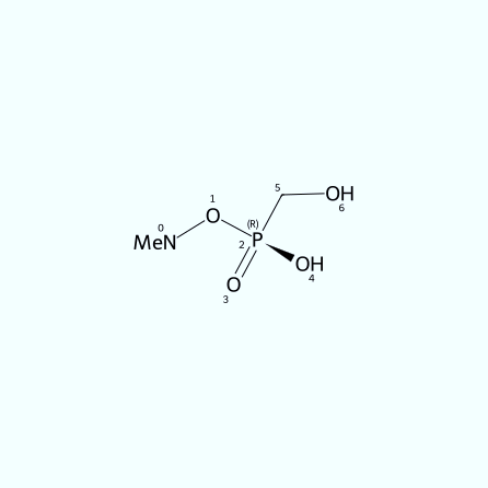 CNO[P@](=O)(O)CO